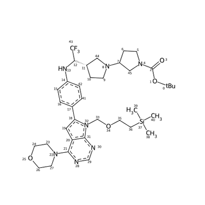 CC(C)(C)OC(=O)N1CCC(N2CC[C@H](C(Nc3ccc(-c4cc5c(N6CCOCC6)ncnc5n4COCC[Si](C)(C)C)cc3)C(F)(F)F)C2)C1